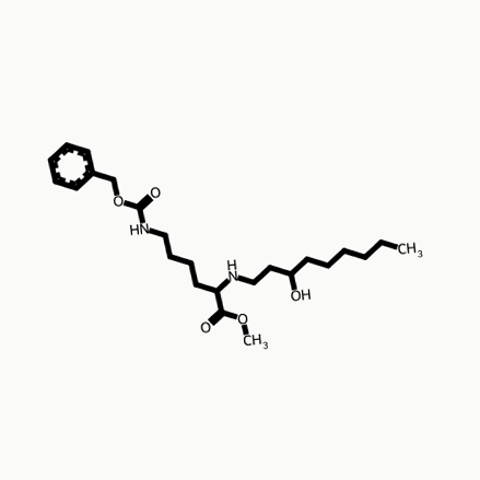 CCCCCCC(O)CCNC(CCCCNC(=O)OCc1ccccc1)C(=O)OC